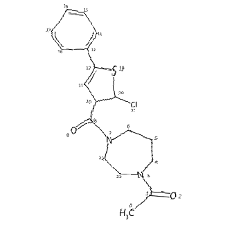 CC(=O)N1CCCN(C(=O)C2C=C(c3ccccc3)SC2Cl)CC1